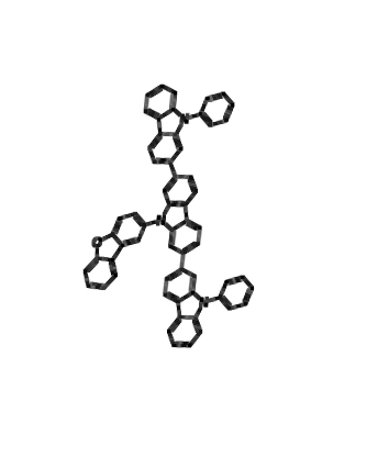 c1ccc(-n2c3ccccc3c3ccc(-c4ccc5c6ccc(-c7ccc8c9ccccc9n(-c9ccccc9)c8c7)cc6n(-c6ccc7oc8ccccc8c7c6)c5c4)cc32)cc1